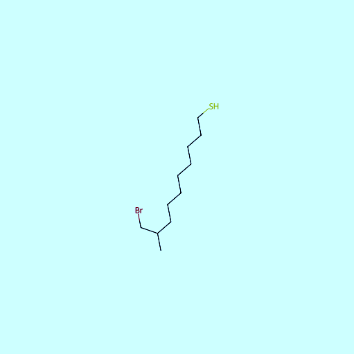 CC(CBr)CCCCCCCCS